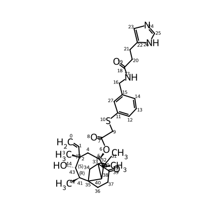 C=C[C@]1(C)C[C@@H](OC(=O)CSc2cccc(CNC(=O)CCc3cnc[nH]3)c2)[C@]2(C)C(C)CC34CC(CCC3=O)(C42)[C@@H](C)[C@@H]1O